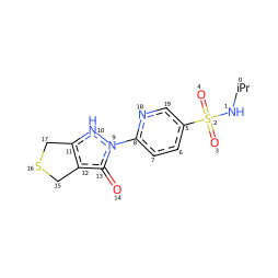 CC(C)NS(=O)(=O)c1ccc(-n2[nH]c3c(c2=O)CSC3)nc1